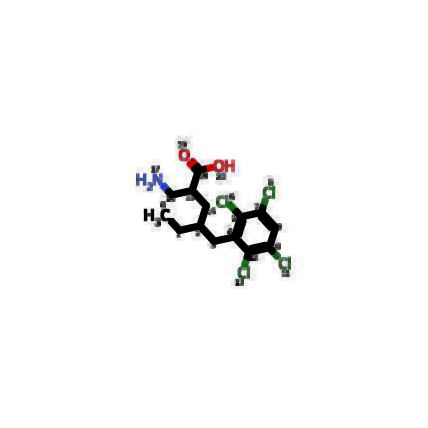 CCC(Cc1c(Cl)c(Cl)cc(Cl)c1Cl)CC(CN)C(=O)O